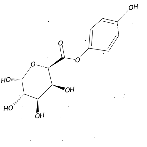 O=C(Oc1ccc(O)cc1)[C@@H]1O[C@@H](O)[C@@H](O)[C@H](O)[C@@H]1O